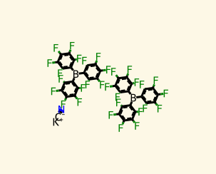 Fc1c(F)c(F)c(B(c2c(F)c(F)c(F)c(F)c2F)c2c(F)c(F)c(F)c(F)c2F)c(F)c1F.Fc1c(F)c(F)c(B(c2c(F)c(F)c(F)c(F)c2F)c2c(F)c(F)c(F)c(F)c2F)c(F)c1F.[C-]#N.[K+]